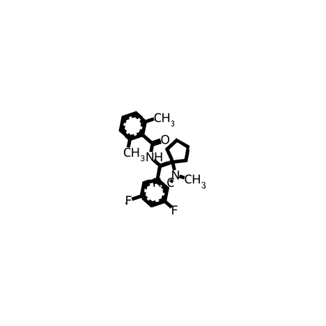 Cc1cccc(C)c1C(=O)NC(c1cc(F)cc(F)c1)C1(N(C)C)CCCC1